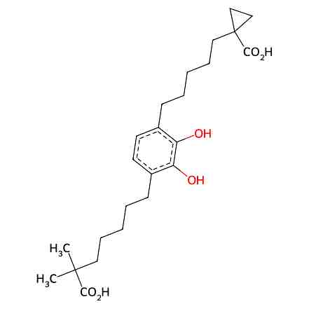 CC(C)(CCCCCc1ccc(CCCCCC2(C(=O)O)CC2)c(O)c1O)C(=O)O